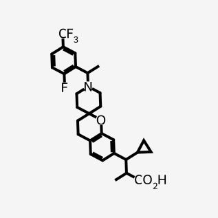 CC(C(=O)O)C(c1ccc2c(c1)OC1(CC2)CCN(C(C)c2cc(C(F)(F)F)ccc2F)CC1)C1CC1